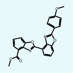 COC(=O)c1cccc2oc(-c3cccc4oc(-c5ccc(OC)cc5)nc34)nc12